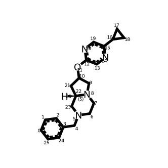 c1ccc(CN2CCN3CC(Oc4cnc(C5CC5)cn4)C[C@H]3C2)cc1